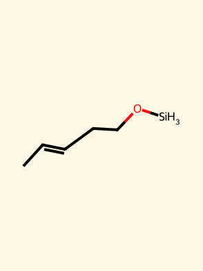 CC=CCCO[SiH3]